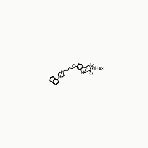 CCCCCCOC(=O)O/C=N\c1cc(OCCCCN2CCN(c3cccc4sccc34)CC2)ccc1CCC(C)=O